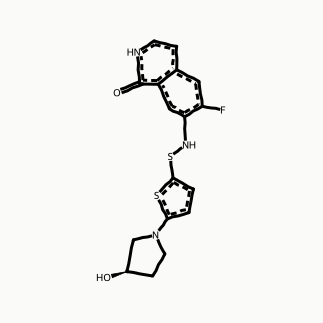 O=c1[nH]ccc2cc(F)c(NSc3ccc(N4CC[C@@H](O)C4)s3)cc12